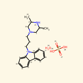 CC1CN(CCCn2c3ccccc3c3ccccc32)CC(C)N1.O.O=S(=O)(O)O